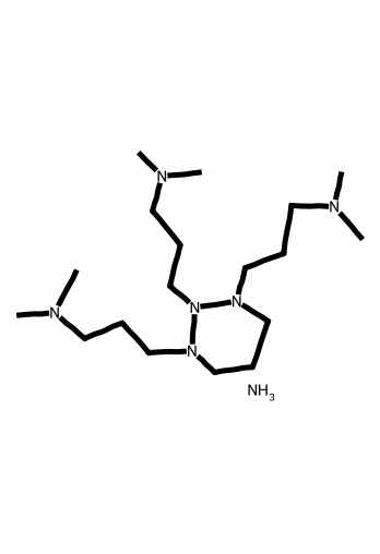 CN(C)CCCN1CCCN(CCCN(C)C)N1CCCN(C)C.N